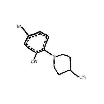 CC1CCN(c2ccc(Br)cc2C#N)CC1